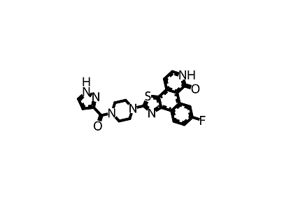 O=C(c1cc[nH]n1)N1CCN(c2nc3c4ccc(F)cc4c4c(=O)[nH]ccc4c3s2)CC1